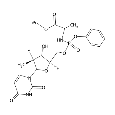 CC(C)OC(=O)C(C)NP(=O)(OC[C@@]1(F)OC(n2ccc(=O)[nH]c2=O)[C@](C)(F)[C@@H]1O)Oc1ccccc1